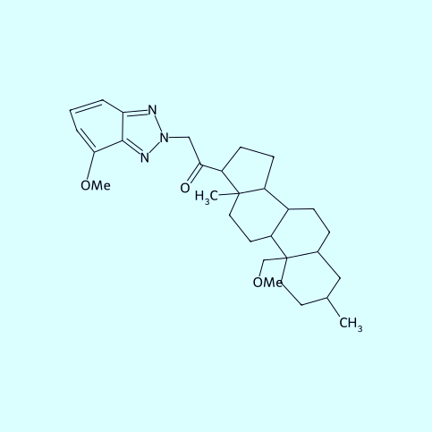 COCC12CCC(C)CC1CCC1C3CCC(C(=O)Cn4nc5cccc(OC)c5n4)C3(C)CCC12